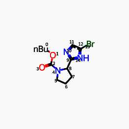 CCCCOC(=O)N1CCCC1c1ncc(Br)[nH]1